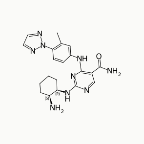 Cc1cc(Nc2nc(N[C@@H]3CCCC[C@@H]3N)ncc2C(N)=O)ccc1-n1nccn1